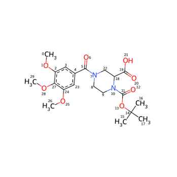 COc1cc(C(=O)N2CCN(C(=O)OC(C)(C)C)C(C(=O)O)C2)cc(OC)c1OC